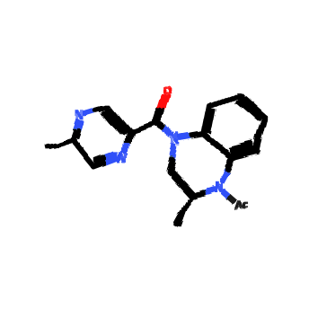 CC(=O)N1c2ccccc2N(C(=O)c2cnc(C)cn2)C[C@@H]1C